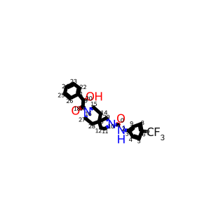 O=C(Nc1ccc(C(F)(F)F)cc1)N1CCC2(CCN(C(=O)[C@H](O)c3ccccc3)CC2)C1